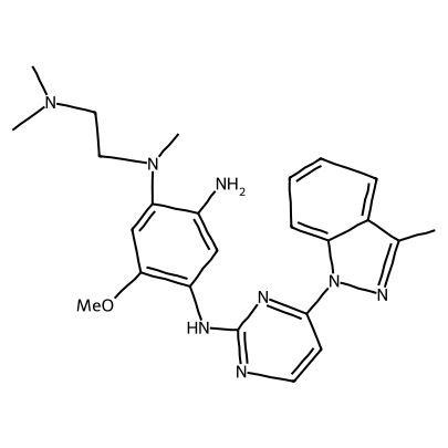 COc1cc(N(C)CCN(C)C)c(N)cc1Nc1nccc(-n2nc(C)c3ccccc32)n1